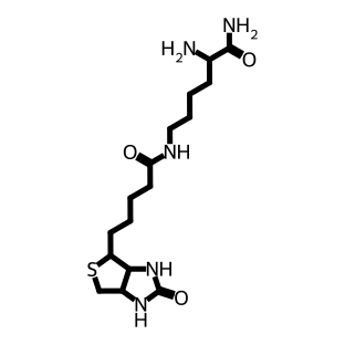 NC(=O)C(N)CCCCNC(=O)CCCCC1SCC2NC(=O)NC21